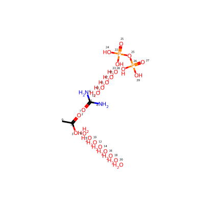 CC(=O)O.NC(N)=O.O.O.O.O.O.O.O.O.O.O.O.O.O.O=P(O)(O)OP(=O)(O)O